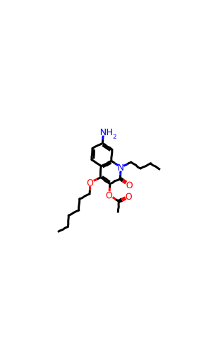 CCCCCCOc1c(OC(C)=O)c(=O)n(CCCC)c2cc(N)ccc12